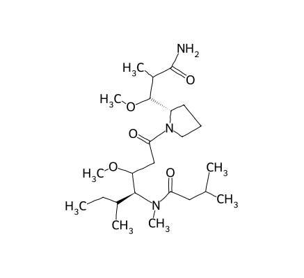 CCC(C)[C@@H](C(CC(=O)N1CCC[C@H]1C(OC)C(C)C(N)=O)OC)N(C)C(=O)CC(C)C